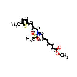 COC(=O)CCCCCCN(CCCc1ccc(C)s1)S(C)(=O)=O